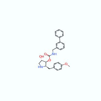 COc1ccc(C[C@H]2NC[C@H](O)[C@H]2OC(=O)NCc2cccc(-c3ccccc3)c2)cc1